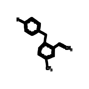 C=Cc1cc(C(F)(F)F)ccc1Cc1ccc(F)cc1